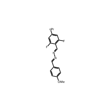 CCCc1cc(F)c(/C=N/N=C/c2ccc(OC)cc2)c(F)c1